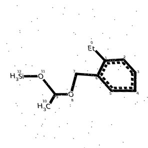 CCc1ccccc1COC(C)O[SiH3]